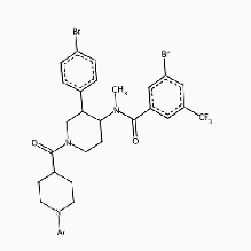 CC(=O)N1CCC(C(=O)N2CCC(N(C)C(=O)c3cc(Br)cc(C(F)(F)F)c3)C(c3ccc(Br)cc3)C2)CC1